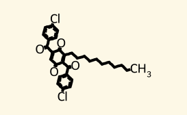 CCCCCCCCCCCC1=C(C(=O)c2ccc(Cl)cc2)C(=O)C=C(C(=O)c2ccc(Cl)cc2)C1=O